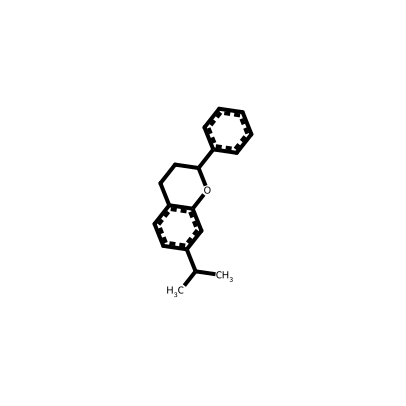 CC(C)c1ccc2c(c1)OC(c1ccccc1)CC2